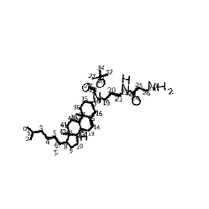 CC(C)CCC[C@@H](C)C1CCC2[C@H]3CC=C4C[C@@H](N(CCCNC(=O)CCN)C(=O)OC(C)(C)C)CCC4(C)C3CCC21C